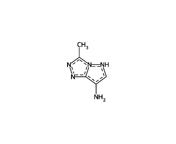 Cc1nnc2c(N)c[nH]n12